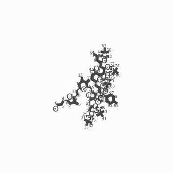 C=C1C[C@H](CCC=O)O[C@H]1CC[C@H]1CC(C)C(=C)[C@@H](C[C@@H]2O[C@H](C[C@@H](CO[Si](C)(C)C(C)(C)C)O[Si](C)(C)C(C)(C)C)C(OC)[C@H]2C(C(=O)C[C@H]2CC[C@@H]3O[C@H]([C@H](/C=C/I)O[Si](C)(C)C(C)(C)C)C(O[Si](C)(C)C(C)(C)C)C(O[Si](C)(C)C(C)(C)C)C3O2)S(=O)(=O)c2ccc(C)cc2)O1